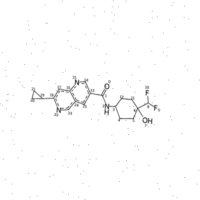 O=C(NC1CCC(O)(C(F)F)CC1)c1cnc2cc(C3CC3)ncc2c1